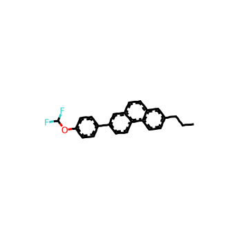 CCCc1ccc2c(ccc3cc(-c4ccc(OC(F)F)cc4)ccc32)c1